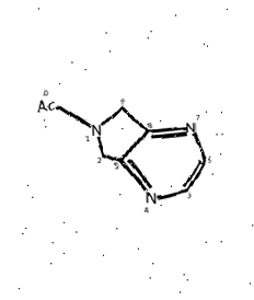 CC(=O)N1Cc2nccnc2C1